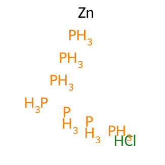 Cl.P.P.P.P.P.P.P.[Zn]